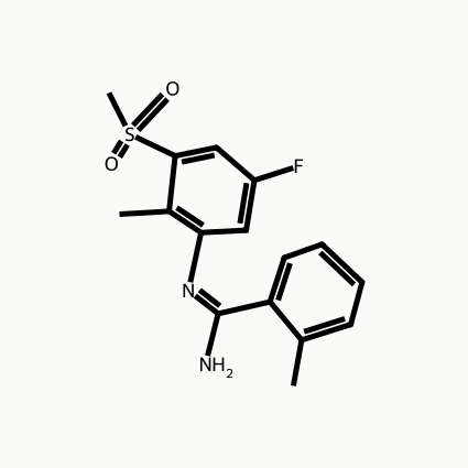 Cc1ccccc1/C(N)=N\c1cc(F)cc(S(C)(=O)=O)c1C